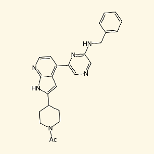 CC(=O)N1CCC(c2cc3c(-c4cncc(NCc5ccccc5)n4)ccnc3[nH]2)CC1